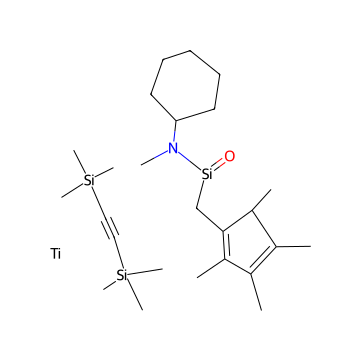 CC1=C(C)C(C)C(C[Si](=O)N(C)C2CCCCC2)=C1C.C[Si](C)(C)C#C[Si](C)(C)C.[Ti]